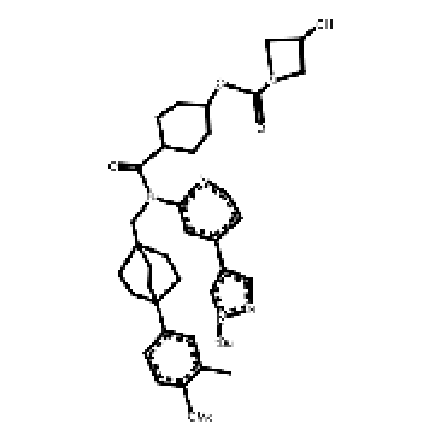 COc1ccc(C23CCC(CN(C(=O)C4CCC(OC(=O)N5CC(O)C5)CC4)c4cc(-c5cnn(C(C)(C)C)c5)ccn4)(CC2)CC3)cc1C